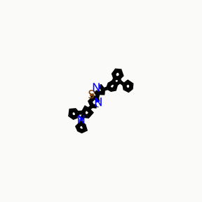 c1ccc(C2c3ccccc3-c3cc(-c4cnc5sc6cc(-c7ccc8c(c7)c7ccccc7n8-c7ccccc7)cnc6c5c4)ccc32)cc1